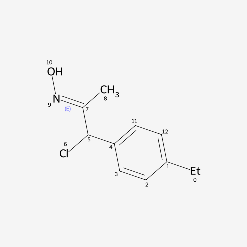 CCc1ccc(C(Cl)/C(C)=N/O)cc1